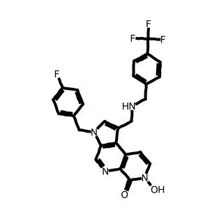 O=c1c2ncc3c(c(CNCc4ccc(C(F)(F)F)cc4)cn3Cc3ccc(F)cc3)c2ccn1O